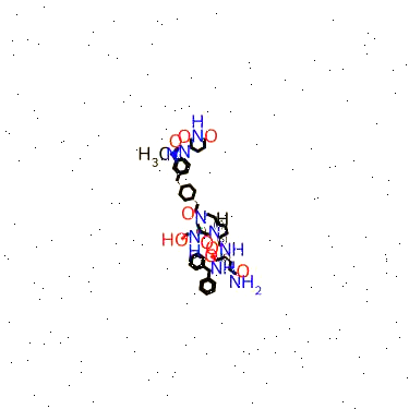 Cn1c(=O)n(C2CCC(=O)NC2=O)c2ccc(C[C@H]3CC[C@@H](CC(=O)N4CC[C@H]5CC[C@@H](C(=O)N[C@@H](CCC(N)=O)C(=O)NC(c6ccccc6)c6ccccc6)N5C(=O)[C@@H](NCO)C4)CC3)cc21